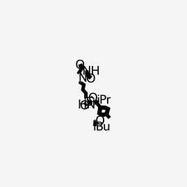 CCC(C)COc1cc(C(NS(=O)(=O)CCCCCN2CC(=O)NC2=O)C(C)C)ccc1C